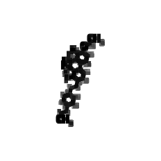 CCCc1ccc(CCc2ccc3c(c2F)C(F)(F)C(F)(F)c2c-3ccc(OCC)c2F)cc1